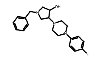 OC1CN(Cc2ccccc2)CC1N1CCN(c2ccc(F)cc2)CC1